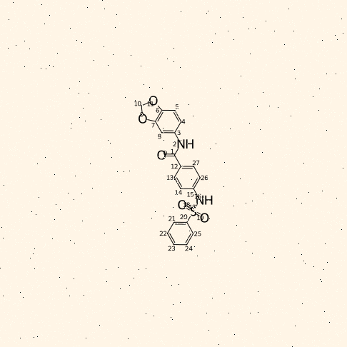 O=C(Nc1ccc2c(c1)OCO2)c1ccc(NS(=O)(=O)c2ccccc2)cc1